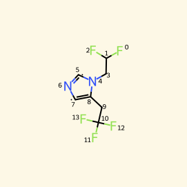 FC(F)Cn1[c]n[c]c1CC(F)(F)F